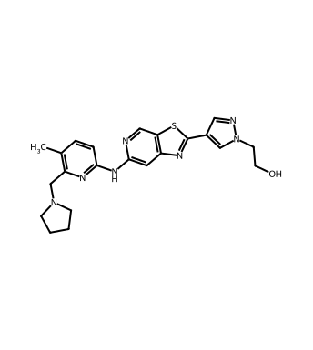 Cc1ccc(Nc2cc3nc(-c4cnn(CCO)c4)sc3cn2)nc1CN1CCCC1